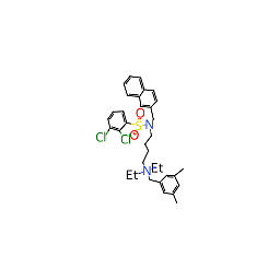 CC[N+](CC)(CCCCN(Cc1ccc2ccccc2c1)S(=O)(=O)c1cccc(Cl)c1Cl)Cc1cc(C)cc(C)c1